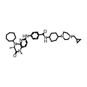 C[C@@H]1C(=O)N(C)c2ccc(Nc3ccc(C(=O)NC4CCC(N5CCN(CC6CC6)CC5)CC4)cc3)nc2N1C1CCCCCC1